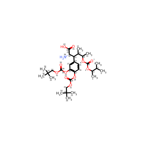 CC(C)C(C)OC(=O)OC(C)C(C)C(c1ccc(OC(=O)OCC(C)(C)C)c(OC(=O)OCC(C)(C)C)c1)[C@H](N)C(=O)O